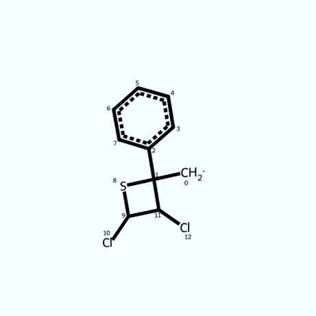 [CH2]C1(c2ccccc2)SC(Cl)C1Cl